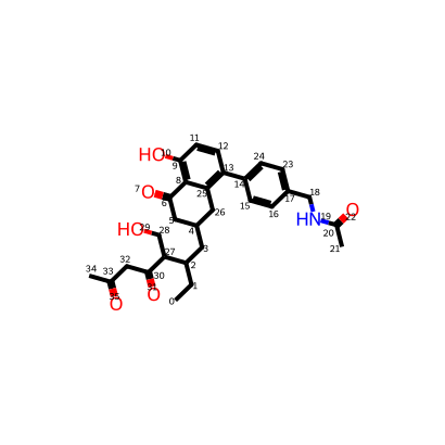 CCC(CC1CC(=O)c2c(O)ccc(-c3ccc(CNC(C)=O)cc3)c2C1)C(CO)C(=O)CC(C)=O